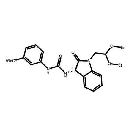 CCOC(CN1C(=O)[C@@H](NC(=O)Nc2cccc(OC)c2)c2ccccc21)OCC